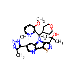 COc1cccnc1C(C1CCOCC1)n1c2cc(-c3c(C)nnn3C)cnc2c2snc(C(C)(C)O)c21